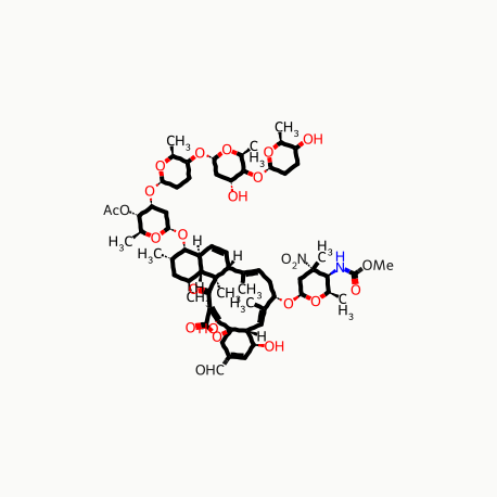 COC(=O)N[C@H]1[C@@H](C)O[C@@H](O[C@H]2C/C=C(\C)[C@H]3C=C[C@@H]4[C@@H](O[C@H]5C[C@@H](O[C@H]6CCC(O[C@H]7C[C@@H](O)C(O[C@H]8CCC(O)[C@H](C)O8)[C@H](C)O7)[C@H](C)O6)[C@@H](OC(C)=O)[C@H](C)O5)[C@@H](C)C[C@H](C)[C@H]4[C@]3(C)C(=O)C3=C(O)C4(CC(C=O)=C[C@H](O)[C@H]4/C=C/2C)OC3=O)C[C@]1(C)[N+](=O)[O-]